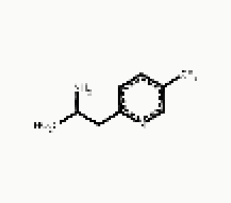 NC(Cc1ccc(C(F)(F)F)cn1)C(=O)O